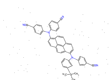 C[Si](C)(C)c1cccc(N(c2ccc(C#N)cc2)c2ccc3ccc4c(N(c5ccc(C#N)cc5)c5ccc(C#N)cc5)ccc5ccc2c3c54)c1